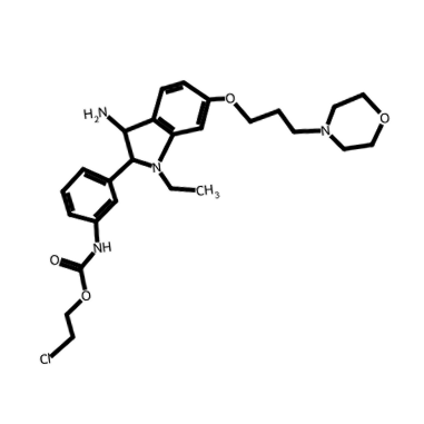 CCN1c2cc(OCCCN3CCOCC3)ccc2C(N)C1c1cccc(NC(=O)OCCCl)c1